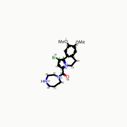 COc1cc2c(cc1OC)-c1c(Br)cc(C(=O)N3CCCNCC3)n1CC2